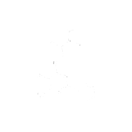 CCCN(CCC)C(=O)CNc1nc(-c2ccccc2)nc(C(F)(F)F)c1Cl